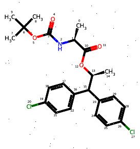 C[C@H](NC(=O)OC(C)(C)C)C(=O)O[C@@H](C)C(c1ccc(Cl)cc1)c1ccc(Cl)cc1